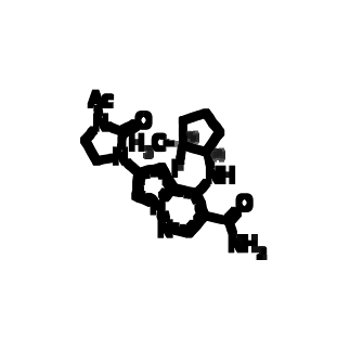 CC(=O)N1CCN(c2cc3c(N[C@@H]4CCC[C@]4(C)F)c(C(N)=O)cnn3c2)C1=O